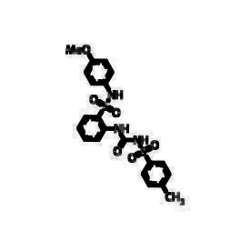 COc1ccc(NS(=O)(=O)c2ccccc2NC(=O)NS(=O)(=O)c2ccc(C)cc2)cc1